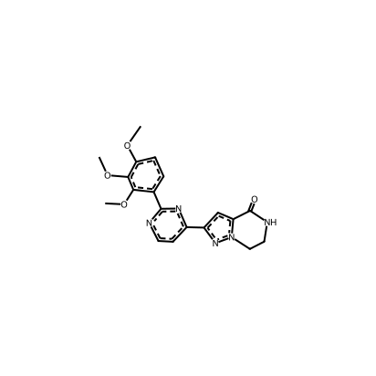 COc1ccc(-c2nccc(-c3cc4n(n3)CCNC4=O)n2)c(OC)c1OC